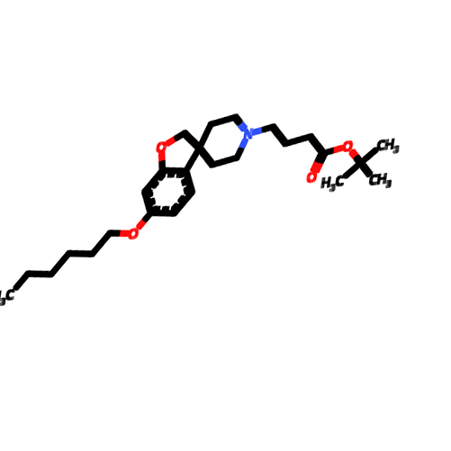 CCCCCCOc1ccc2c(c1)OCC21CCN(CCCC(=O)OC(C)(C)C)CC1